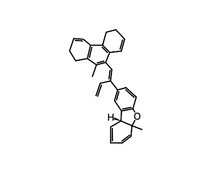 C=C/C(=C\c1c(C)c2c(c3c1C=CCC3)C=CCC2)c1ccc2c(c1)[C@H]1C=CC=CC1(C)O2